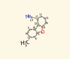 Cc1ccc2c(c1)oc1cccc(C#N)c12